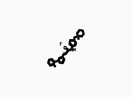 Cc1ccccc1-c1cccc(/C=C/C(=O)Nc2ccc(C[N+]3(C)CCCCC3)cc2)c1.[I-]